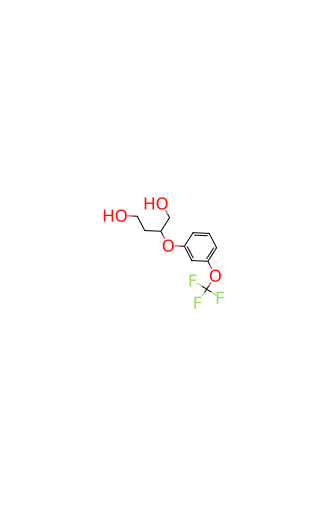 OCCC(CO)Oc1cccc(OC(F)(F)F)c1